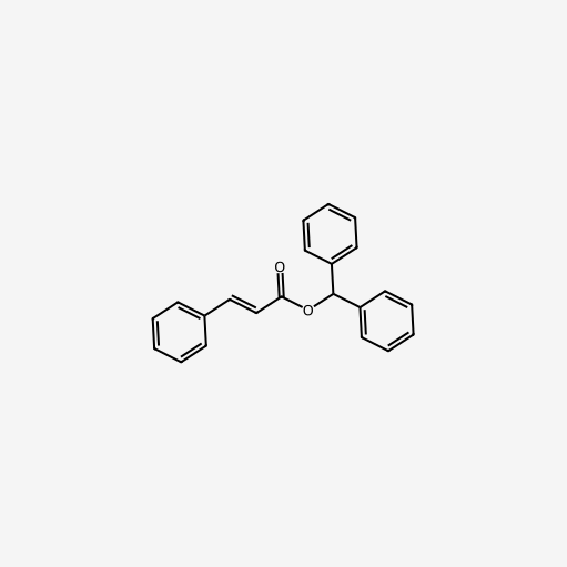 O=C(C=Cc1ccccc1)OC(c1ccccc1)c1ccccc1